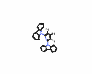 [2H]c1c(-n2c3ccccc3c3ccccc32)nc(-n2c3ccccc3c3ccccc32)c([2H])c1[2H]